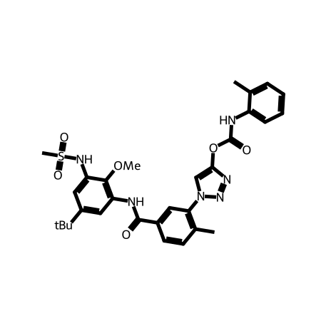 COc1c(NC(=O)c2ccc(C)c(-n3cc(OC(=O)Nc4ccccc4C)nn3)c2)cc(C(C)(C)C)cc1NS(C)(=O)=O